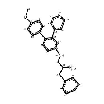 COc1ccc(-c2ccc(NC[C@@H](N)Cc3ccccc3)nc2-c2ccncc2)cc1